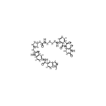 Cn1ncc2cc(C(=O)Nc3ccc4[nH]c(CN5CCC(CC(=O)NCCCCNc6cccc7c6C(=O)N(C6CCC(=O)NC6=O)C7=O)C5)nc4c3)ccc21